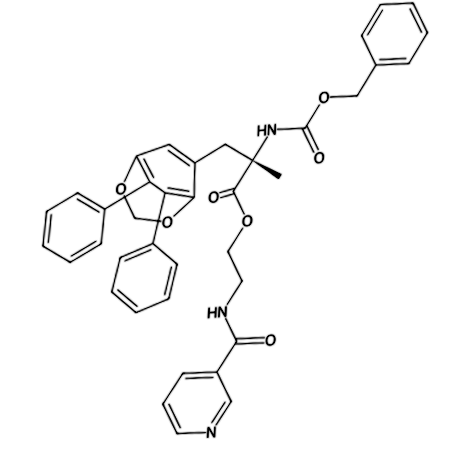 C[C@@](Cc1cc2c(-c3ccccc3)c(-c3ccccc3)c1OCO2)(NC(=O)OCc1ccccc1)C(=O)OCCNC(=O)c1cccnc1